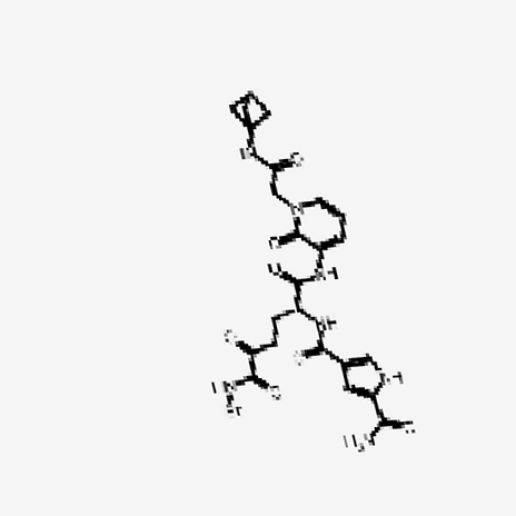 CCNC(=O)C(=O)CC[C@H](NC(=O)c1c[nH]c(C(N)=O)c1)C(=O)Nc1cccn(CC(=O)NC23CC(C2)C3)c1=O